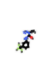 CN(N)C(=O)Nc1cccc(C(F)(F)F)c1